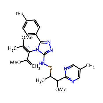 C=C(OC)/C(=C(\C)OC)n1c(NSC(C)C(OC)c2ncc(C)cn2)nnc1-c1ccc(C(C)(C)C)cc1